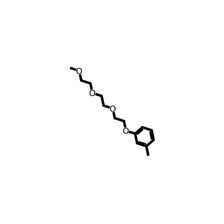 COCCOCCOCCOc1cccc(C)c1